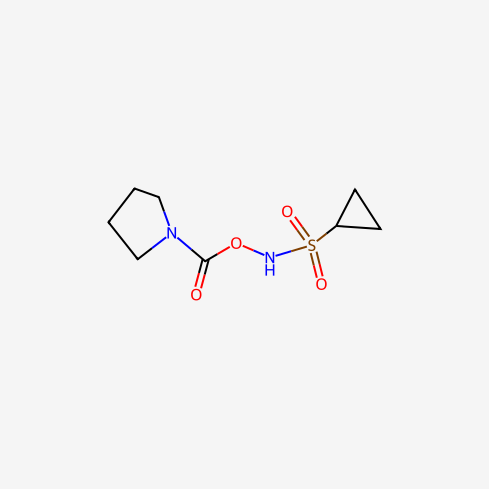 O=C(ONS(=O)(=O)C1CC1)N1CCCC1